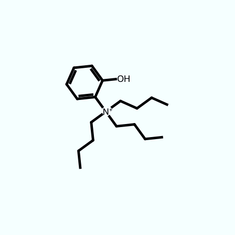 CCCC[N+](CCCC)(CCCC)c1ccccc1O